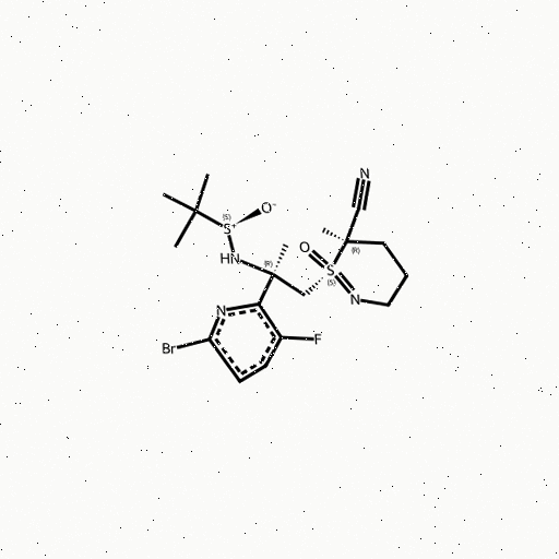 CC(C)(C)[S@@+]([O-])N[C@@](C)(C[S@@]1(=O)=NCCC[C@]1(C)C#N)c1nc(Br)ccc1F